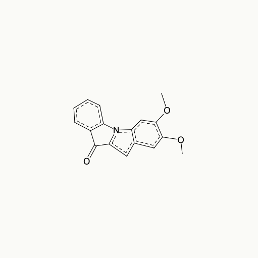 COc1cc2cc3n(c2cc1OC)-c1ccccc1C3=O